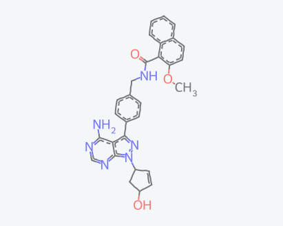 COc1ccc2ccccc2c1C(=O)NCc1ccc(-c2nn(C3C=CC(O)C3)c3ncnc(N)c23)cc1